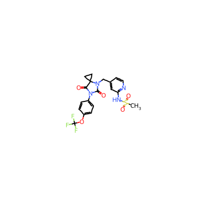 CS(=O)(=O)Nc1cc(CN2C(=O)N(c3ccc(OC(F)(F)F)cc3)C(=O)C23CC3)ccn1